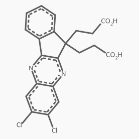 O=C(O)CCC1(CCC(=O)O)c2ccccc2-c2nc3cc(Cl)c(Cl)cc3nc21